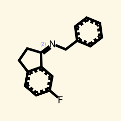 Fc1ccc2c(c1)/C(=N\Cc1ccccc1)CC2